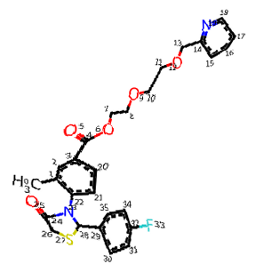 Cc1cc(C(=O)OCCOCCOCc2ccccn2)ccc1N1C(=O)CSC1c1ccc(F)cc1